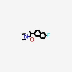 CCN(CC)C(=O)C(C)c1ccc2cc(F)ccc2c1